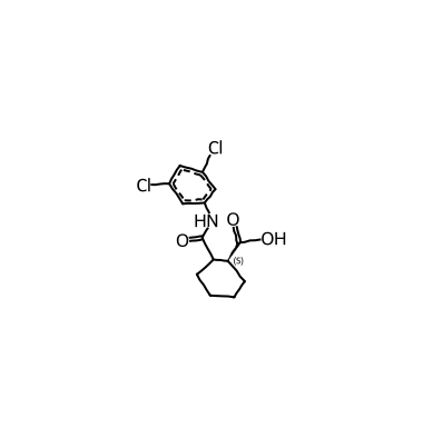 O=C(Nc1cc(Cl)cc(Cl)c1)C1CCCC[C@@H]1C(=O)O